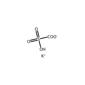 O=C([O-])S(=O)(=O)O.[K+]